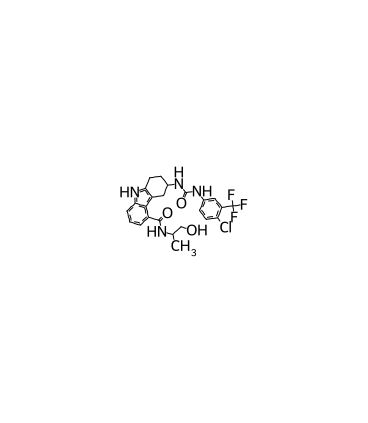 CC(CO)NC(=O)c1cccc2[nH]c3c(c12)CC(NC(=O)Nc1ccc(Cl)c(C(F)(F)F)c1)CC3